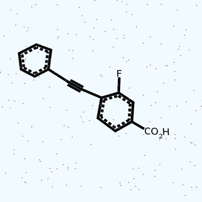 O=C(O)c1ccc(C#Cc2ccccc2)c(F)c1